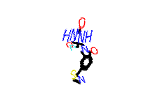 O=C1NC(=O)C(CF)(CN2Cc3cc(-c4nccs4)ccc3C2=O)N1